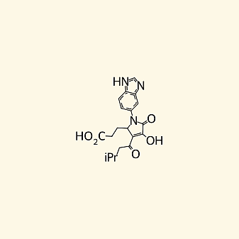 CC(C)CC(=O)C1=C(O)C(=O)N(c2ccc3[nH]cnc3c2)C1CCC(=O)O